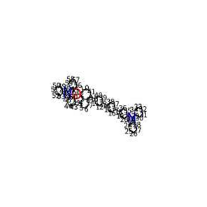 C1=CC2=c3c(cccc3=C(c3ccc(-c4ccc(-c5ccc(N(c6ccccc6)c6ccccc6)cc5)cc4)cc3)C1)-c1cccc(N(c3ccccc3)c3ccccc3)c1O2